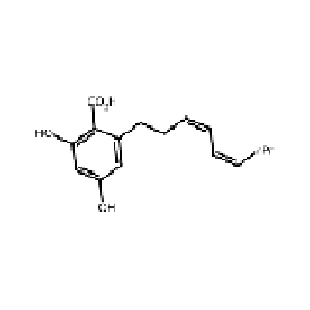 CCC/C=C\C=C/CCc1cc(O)cc(O)c1C(=O)O